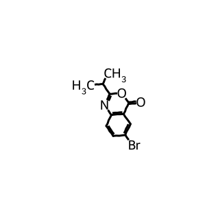 CC(C)c1nc2ccc(Br)cc2c(=O)o1